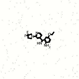 CCOc1ccc(N)c(C(=N)c2ccnc(N3CCC(F)(F)C3)c2)c1